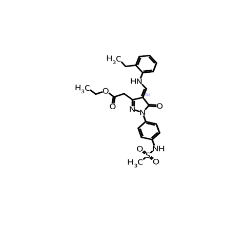 CCOC(=O)CC1=NN(c2ccc(NS(C)(=O)=O)cc2)C(=O)/C1=C/Nc1ccccc1CC